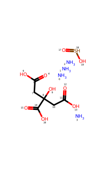 N.N.N.N.O=C(O)CC(O)(CC(=O)O)C(=O)O.O=[SH]O